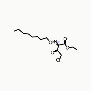 CCCCCCCCO/N=C(\C(=O)CCl)C(=O)OCC